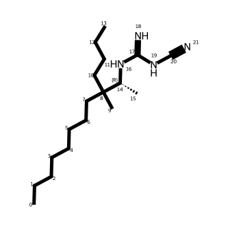 CCCCCCCCC(C)(CCCC)[C@@H](C)NC(=N)NC#N